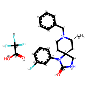 C[C@@H]1C[C@@]2(CCN1Cc1ccccc1)CNC(=O)N2c1cccc(F)c1.O=C(O)C(F)(F)F